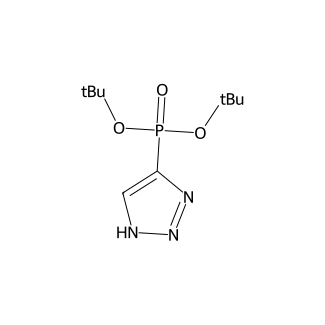 CC(C)(C)OP(=O)(OC(C)(C)C)c1c[nH]nn1